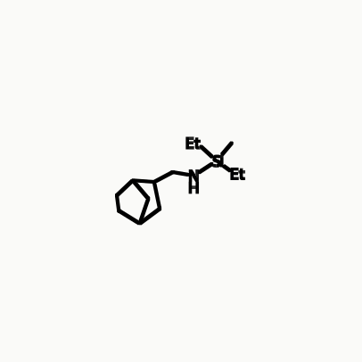 CC[Si](C)(CC)NCC1CC2CCC1C2